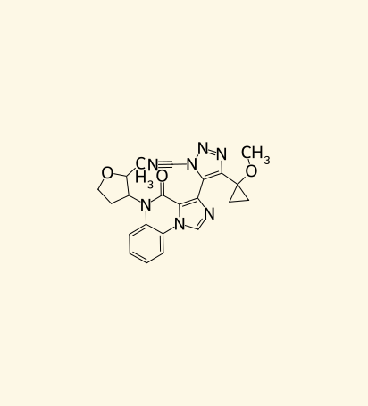 COC1(c2nnn(C#N)c2-c2ncn3c2c(=O)n(C2CCOC2C)c2ccccc23)CC1